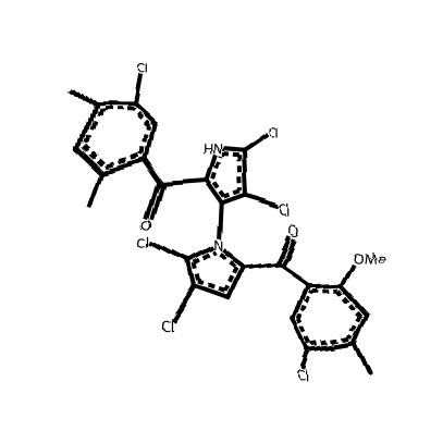 COc1cc(C)c(Cl)cc1C(=O)c1cc(Cl)c(Cl)n1-c1c(C(=O)c2cc(Cl)c(C)cc2C)[nH]c(Cl)c1Cl